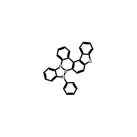 c1ccc(N2B3c4ccc5sc6ccccc6c5c4-c4ccccc4N3c3ccccc32)cc1